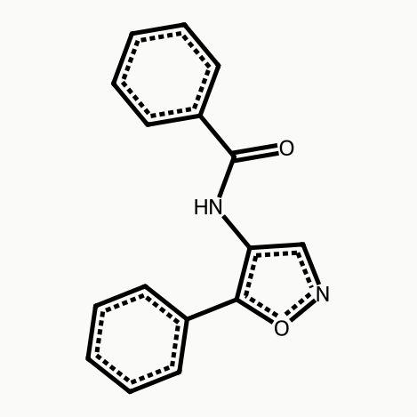 O=C(Nc1cnoc1-c1ccccc1)c1ccccc1